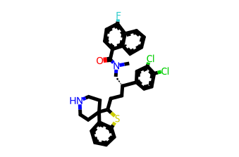 CN(C[C@@H](CCC1Sc2ccccc2C12CCNCC2)c1ccc(Cl)c(Cl)c1)C(=O)c1ccc(F)c2ccccc12